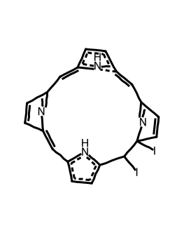 IC1c2ccc([nH]2)C=C2C=CC(=N2)C=c2ccc([nH]2)=CC2=NC1(I)C=C2